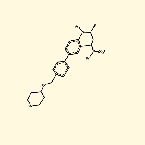 CC(=O)N1c2ccc(-c3ccc(CNC4CCNCC4)cc3)cc2[C@H](N(C(=O)O)C(C)C)C[C@@H]1C